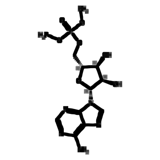 Nc1ncnc2c1ncn2[C@@H]1O[C@H](COP(=O)(OP)OP)[C@@H](O)[C@H]1O